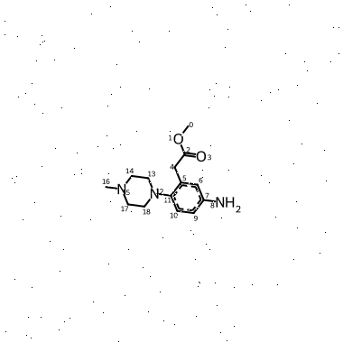 COC(=O)Cc1cc(N)ccc1N1CCN(C)CC1